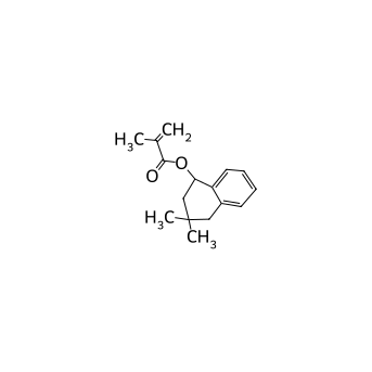 C=C(C)C(=O)OC1CC(C)(C)Cc2ccccc21